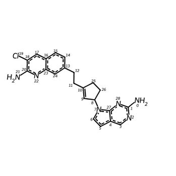 Nc1ncc2ccn(C3C=C(CCc4ccc5cc(Cl)c(N)nc5c4)CC3)c2n1